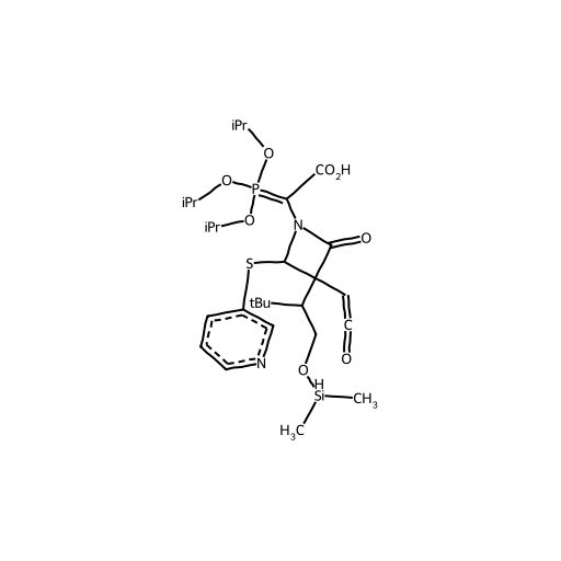 CC(C)OP(OC(C)C)(OC(C)C)=C(C(=O)O)N1C(=O)C(C=C=O)(C(CO[SiH](C)C)C(C)(C)C)C1Sc1cccnc1